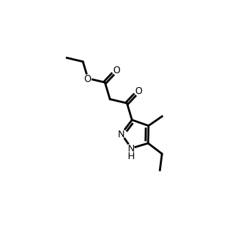 CCOC(=O)CC(=O)c1n[nH]c(CC)c1C